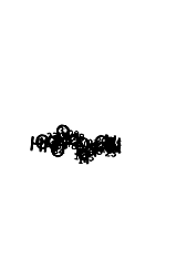 O=C1CCC(N2Cc3cc(OC4CCCC[C@H]4N4CC(Oc5cccnn5)C4)ccc3C2=O)C(=O)N1